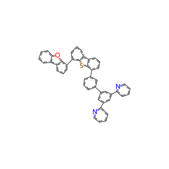 c1ccc(-c2cc(-c3cccc(-c4cccc5c4sc4c(-c6cccc7c6oc6ccccc67)cccc45)c3)cc(-c3ccccn3)c2)nc1